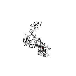 CC(C)(O)COc1cc(-c2cnc(N3CC4CC(C3)N4C(=O)OC(C)(C)C)cn2)c2c(C#N)cnn2c1